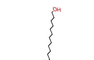 OCCCCCCCCCCCCCl